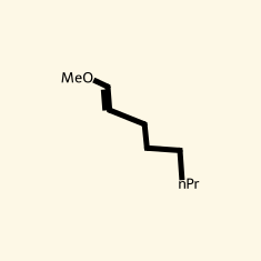 [CH2]OC=CCCCCCC